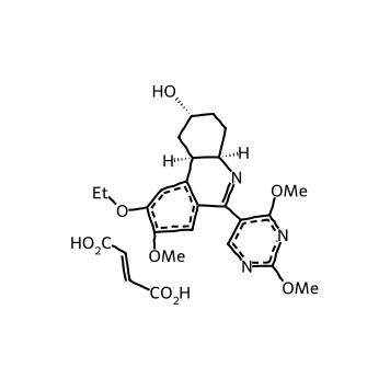 CCOc1cc2c(cc1OC)C(c1cnc(OC)nc1OC)=N[C@@H]1CC[C@@H](O)C[C@H]21.O=C(O)C=CC(=O)O